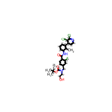 Cc1c(NC(=O)c2ccc(CN(CCO)C(=O)OC(C)(C)C)cc2F)cccc1-c1ccnc(Cl)c1Cl